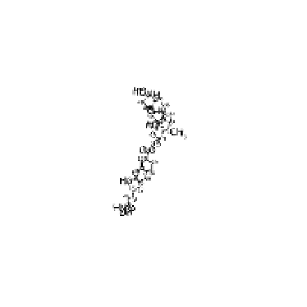 C[C@H](CCC(=O)OCOC(=O)c1ccc(CC(CCCCC(=O)NO)C(=O)O)cc1)C1CCC2C3CC[C@@H]4C[C@H](O)CC[C@]4(C)C3C[C@H](O)[C@@]21C